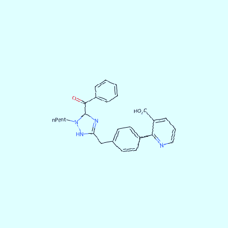 CCCCCN1NC(Cc2ccc(-c3ncccc3C(=O)O)cc2)=NC1C(=O)c1ccccc1